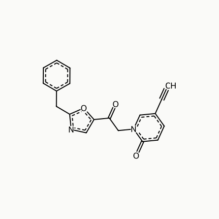 C#Cc1ccc(=O)n(CC(=O)c2cnc(Cc3ccccc3)o2)c1